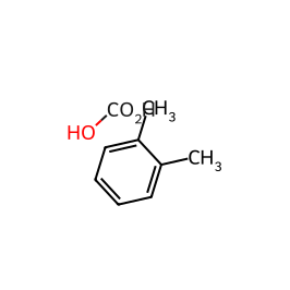 Cc1ccccc1C.O=C(O)O